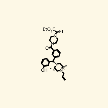 C=CCN1C[C@H](C)N([C@@H](c2cccc(O)c2)c2cccc(C(=O)N3CCN(C(CC)C(=O)OCC)CC3)c2)C[C@H]1C